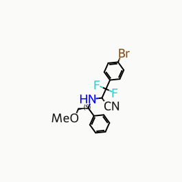 COC[C@@H](NC(C#N)C(F)(F)c1ccc(Br)cc1)c1ccccc1